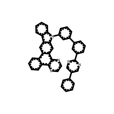 c1ccc(-c2cnc(-c3cccc(-c4cccc(-n5c6ccccc6c6cc7c8ccccc8c8nccnc8c7cc65)c4)c3)nc2)cc1